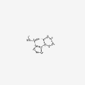 CNC(=O)c1cnoc1-c1ccccc1